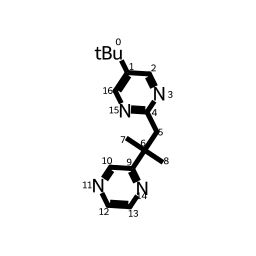 CC(C)(C)c1cnc(CC(C)(C)c2cnccn2)nc1